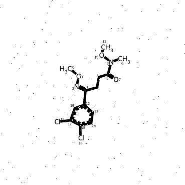 CON=C(CCC(=O)N(C)OC)c1ccc(Cl)c(Cl)c1